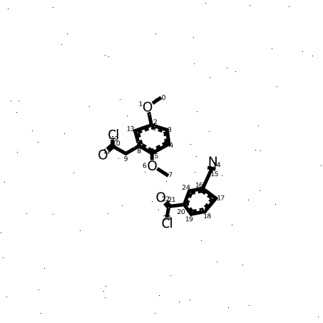 COc1ccc(OC)c(CC(=O)Cl)c1.N#Cc1cccc(C(=O)Cl)c1